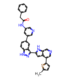 Cc1ccc(-c2cncc3[nH]c(-c4n[nH]c5ccc(-c6cncc(NC(=O)Cc7ccccc7)c6)cc45)cc23)s1